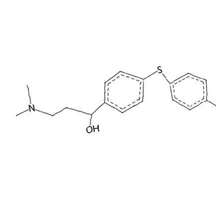 CN(C)CCC(O)c1ccc(Sc2ccc(I)cc2)cc1